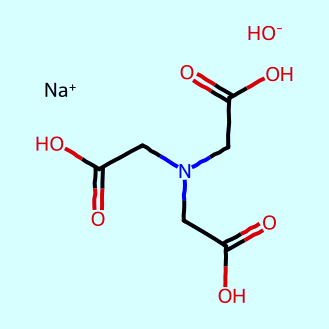 O=C(O)CN(CC(=O)O)CC(=O)O.[Na+].[OH-]